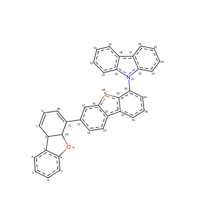 C1=CC2c3ccccc3OC2C(c2ccc3c(c2)sc2c(-n4c5ccccc5c5ccccc54)cccc23)=C1